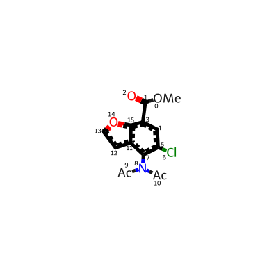 COC(=O)c1cc(Cl)c(N(C(C)=O)C(C)=O)c2ccoc12